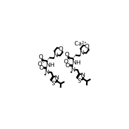 CC(C)c1nc(CN(C)C(=O)N[C@@H](CCN2CCOCC2)C(=O)[O-])cs1.CC(C)c1nc(CN(C)C(=O)N[C@@H](CCN2CCOCC2)C(=O)[O-])cs1.[Ca+2]